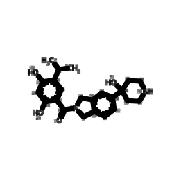 CC(C)c1cc(C(=O)N2Cc3ccc(C4(O)CCNCC4)cc3C2)c(O)cc1O